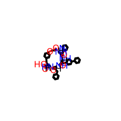 O=C1COc2ccc(cc2)C[C@@H](C(=O)O)NC(=O)[C@H](CCc2ccccc2)NC(=O)[C@@H](Cc2ccc(-c3ccccc3)cc2)NC(=O)[C@H](Cc2ccccn2)N1